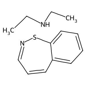 C1=Cc2ccccc2SN=C1.CCNCC